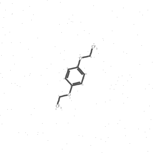 FC(F)(F)COc1ccc(OCC(F)(F)F)cc1